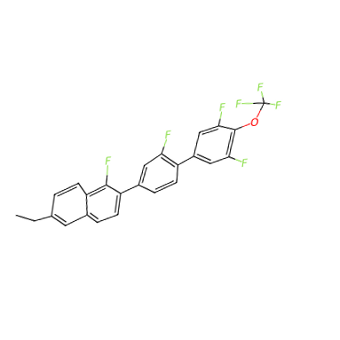 CCc1ccc2c(F)c(-c3ccc(-c4cc(F)c(OC(F)(F)F)c(F)c4)c(F)c3)ccc2c1